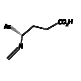 C=N[C@@H](CCC(=O)O)C(C)=O